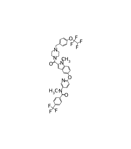 CN(C(=O)c1ccc(C(F)(F)F)cc1)c1ccc(Oc2ccc3c(c2)cc(C(=O)N2CCN(Cc4ccc(OC(F)(F)C(F)F)cc4)CC2)n3C)nc1